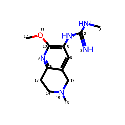 CNC(=N)Nc1cc2c(nc1OC)CCN(C)C2